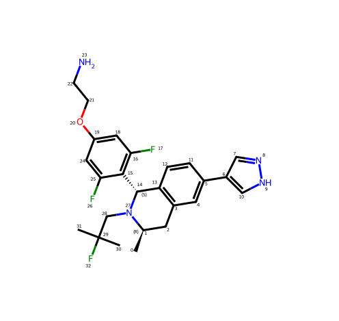 C[C@@H]1Cc2cc(-c3cn[nH]c3)ccc2[C@@H](c2c(F)cc(OCCN)cc2F)N1CC(C)(C)F